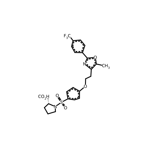 Cc1oc(-c2ccc(C(F)(F)F)cc2)nc1CCOc1ccc(S(=O)(=O)N2CCC[C@@H]2C(=O)O)cc1